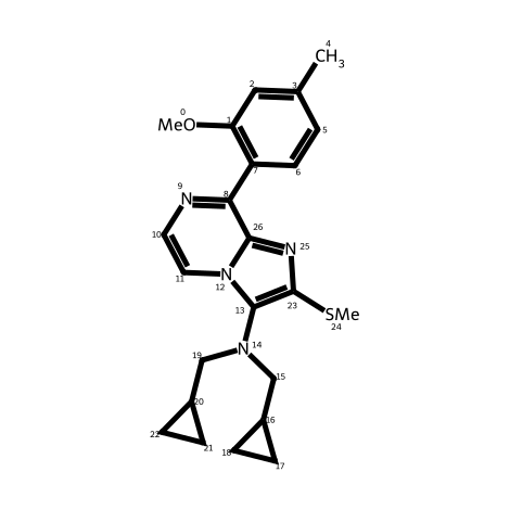 COc1cc(C)ccc1-c1nccn2c(N(CC3CC3)CC3CC3)c(SC)nc12